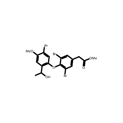 COC(=O)Cc1cc(Br)c(Oc2cc(C(C)C)c(OC)cc2C(C)O)c(Br)c1